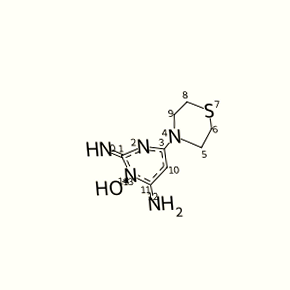 N=c1nc(N2CCSCC2)cc(N)n1O